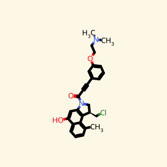 Cc1cccc2c(O)cc3c(c12)[C@H](CCl)CN3C(=O)C#Cc1cccc(OCCN(C)C)c1